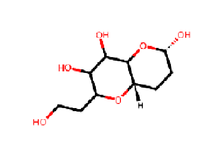 OCCC1O[C@H]2CC[C@@H](O)OC2C(O)C1O